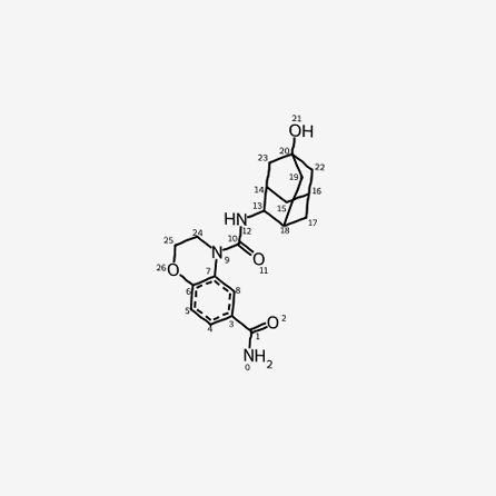 NC(=O)c1ccc2c(c1)N(C(=O)NC1C3CC4CC1CC(O)(C4)C3)CCO2